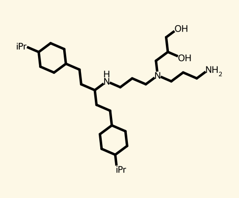 CC(C)C1CCC(CCC(CCC2CCC(C(C)C)CC2)NCCCN(CCCN)CC(O)CO)CC1